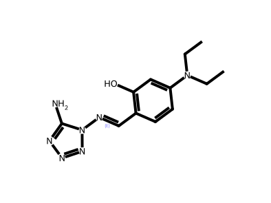 CCN(CC)c1ccc(/C=N/n2nnnc2N)c(O)c1